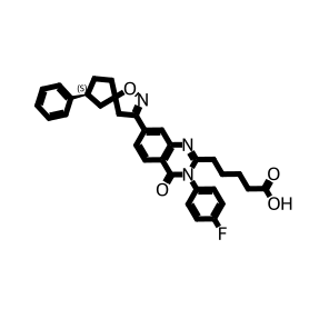 O=C(O)CCCCc1nc2cc(C3=NOC4(CC[C@H](c5ccccc5)C4)C3)ccc2c(=O)n1-c1ccc(F)cc1